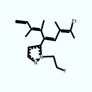 C=C/C(C)=C(C)/C(=C\C(C)=C(/C)CC)c1ccnn1CCF